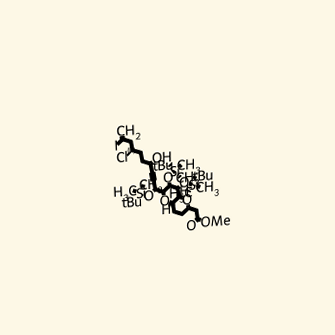 C=C(I)C[C@H](Cl)CCC(O)C#CC(O[Si](C)(C)C(C)(C)C)C1O[C@H]2CCC(CC(=O)OC)O[C@@H]2C(O[Si](C)(C)C(C)(C)C)C1O[Si](C)(C)C(C)(C)C